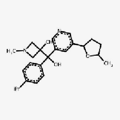 CC1CCC(c2cncc(C(O)(c3ccc(C(C)C)cc3)C3(C)CN(C)C3)c2)O1